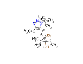 B[C@]1(C)C(S)(CC)C1(S)CCC1C(CC)N=NN1C(C)(C)C